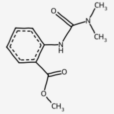 COC(=O)c1ccccc1NC(=O)N(C)C